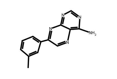 Cc1cccc(-c2cnc3c(N)ncnc3n2)c1